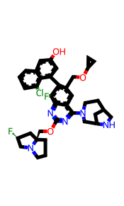 Oc1cc(-c2c(COC3CC3)cc3c(N4CCC5CNC(C5)C4)nc(OC[C@@]45CCCN4C[C@H](F)C5)nc3c2F)c2c(Cl)cccc2c1